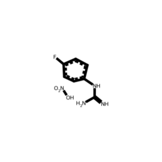 N=C(N)Nc1ccc(F)cc1.O=[N+]([O-])O